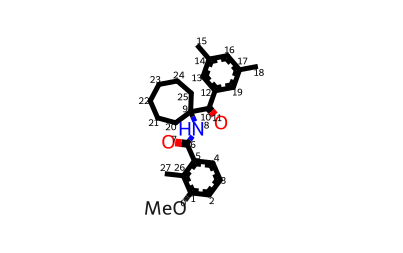 COc1cccc(C(=O)NC2(C(=O)c3cc(C)cc(C)c3)CCCCCC2)c1C